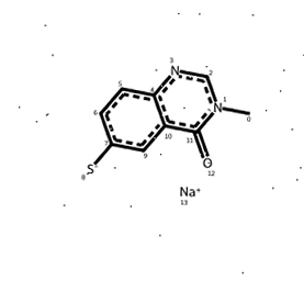 Cn1cnc2ccc([S-])cc2c1=O.[Na+]